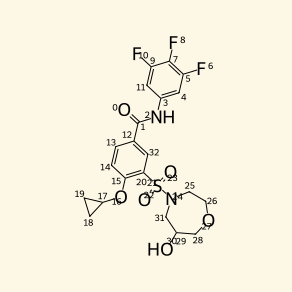 O=C(Nc1cc(F)c(F)c(F)c1)c1ccc(OC2CC2)c(S(=O)(=O)N2CCOCC(O)C2)c1